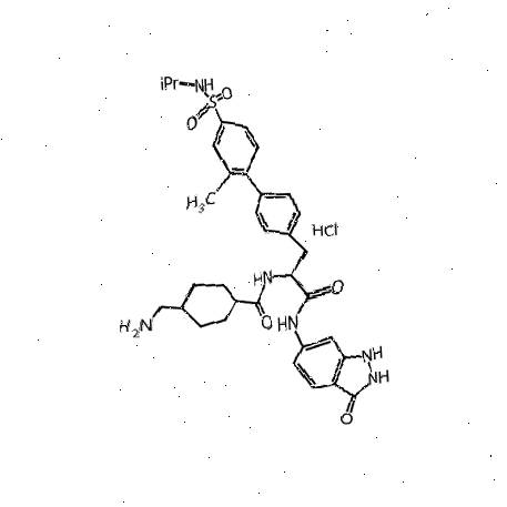 Cc1cc(S(=O)(=O)NC(C)C)ccc1-c1ccc(C[C@H](NC(=O)C2CCC(CN)CC2)C(=O)Nc2ccc3c(=O)[nH][nH]c3c2)cc1.Cl